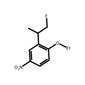 CCOc1ccc([N+](=O)[O-])cc1[C](C)CF